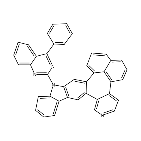 c1ccc(-c2nc(-n3c4ccccc4c4cc5c(cc43)-c3cccc4cccc(c34)-c3ccncc3-5)nc3ccccc23)cc1